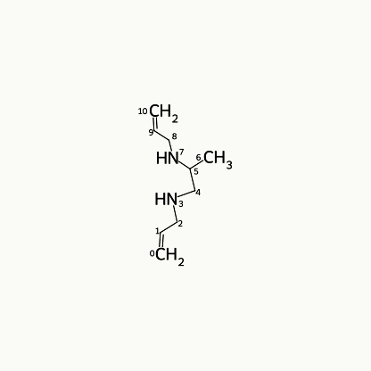 C=CCNCC(C)NCC=C